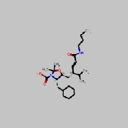 CCCCNC(=O)C=C[C@@H](C[C@@H]1OC(C)(C)N(C(=O)O)[C@H]1CC1CCCCC1)C(C)C